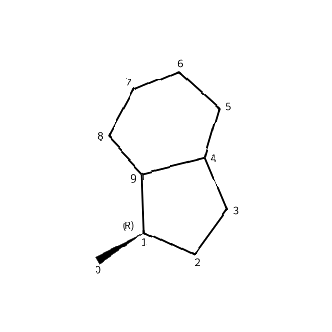 C[C@@H]1CCC2CCCCC21